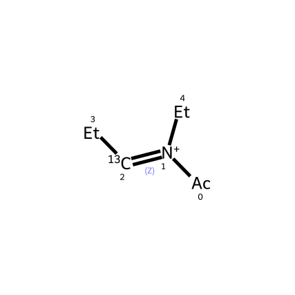 CC(=O)/[N+](=[13CH]/[13CH2][13CH3])[13CH2][13CH3]